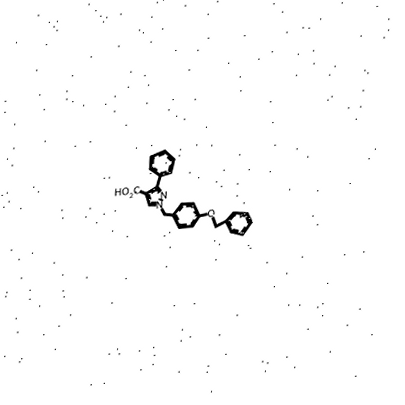 O=C(O)c1cn(Cc2ccc(OCc3ccccc3)cc2)nc1-c1ccccc1